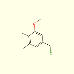 COc1cc(CCl)cc(C)c1C